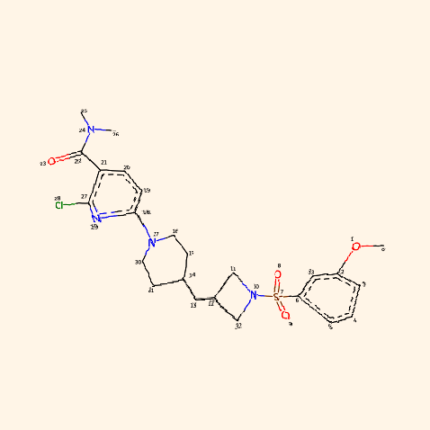 COc1cccc(S(=O)(=O)N2CC(CC3CCN(c4ccc(C(=O)N(C)C)c(Cl)n4)CC3)C2)c1